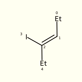 CCC=C(I)CC